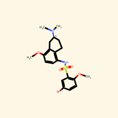 COc1ccc(Br)cc1S(=O)(=O)Nc1ccc(OC)c2c1CC[C@H](N(C)C)C2